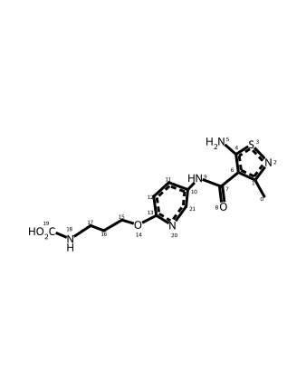 Cc1nsc(N)c1C(=O)Nc1ccc(OCCCNC(=O)O)nc1